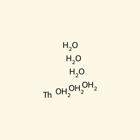 O.O.O.O.O.O.[Th]